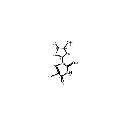 CCC1OC(n2cc(I)c(=O)[nH]c2=O)CC1O